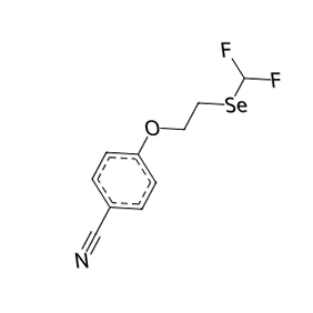 N#Cc1ccc(OCC[Se]C(F)F)cc1